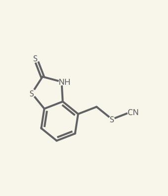 N#CSCc1cccc2sc(=S)[nH]c12